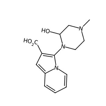 CN1CCN(c2c(C(=O)O)cc3ccccn23)C(O)C1